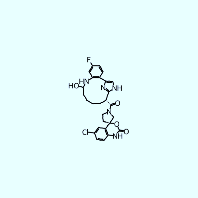 O=C1Nc2ccc(Cl)cc2[C@@]2(CCN(C(=O)[C@@H]3CCCCC(O)Nc4cc(F)ccc4-c4c[nH]c3n4)C2)O1